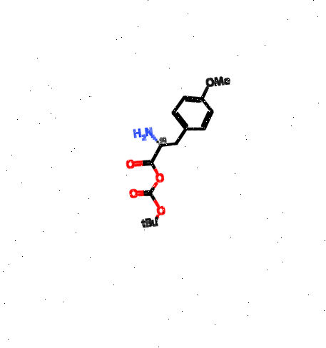 COc1ccc(C[C@@H](N)C(=O)OC(=O)OC(C)(C)C)cc1